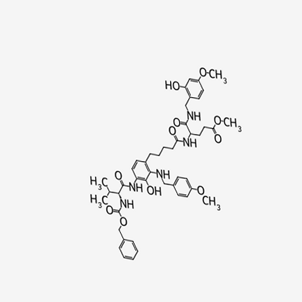 COC(=O)CCC(NC(=O)CCCCc1ccc(NC(=O)[C@@H](NC(=O)OCc2ccccc2)C(C)C)c(O)c1NCc1ccc(OC)cc1)C(=O)NCc1ccc(OC)cc1O